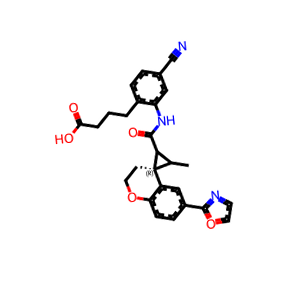 CC1C(C(=O)Nc2cc(C#N)ccc2CCCC(=O)O)[C@@]12CCOc1ccc(-c3ncco3)cc12